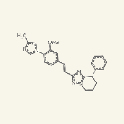 COc1cc(/C=C/c2nc3n(n2)CCC[C@H]3c2ccccc2)ccc1-n1cnc(C)c1